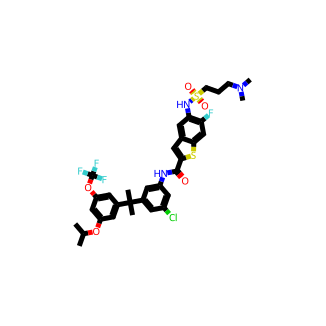 CC(C)Oc1cc(OC(F)(F)F)cc(C(C)(C)c2cc(Cl)cc(NC(=O)c3cc4cc(NS(=O)(=O)CCCN(C)C)c(F)cc4s3)c2)c1